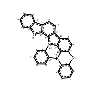 c1ccc2c(c1)Sc1ccc3c4ccc5c6ccccc6oc5c4n4c3c1B2c1ccccc1-4